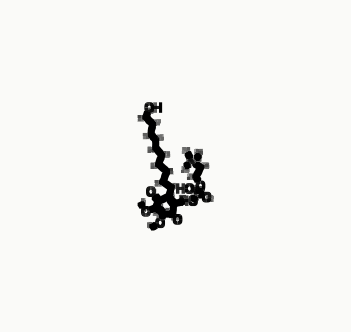 COC1=C(OC)C(=O)C(CCCCCCCCCCO)=C(C)C1=O.C[N+](C)(C)CCOP(=O)(O)O